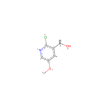 COc1cnc(Cl)c(BO)c1